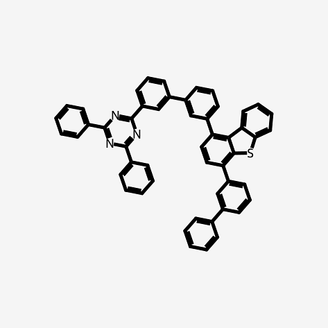 c1ccc(-c2cccc(-c3ccc(-c4cccc(-c5cccc(-c6nc(-c7ccccc7)nc(-c7ccccc7)n6)c5)c4)c4c3sc3ccccc34)c2)cc1